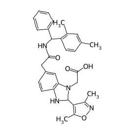 Cc1ccc(C(NC(=O)Cc2ccc3c(c2)N(CC(=O)O)C(c2c(C)noc2C)N3)c2ccccc2)c(C)c1